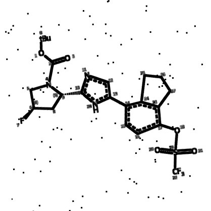 CC(C)(C)OC(=O)N1C[C@H](F)C[C@H]1c1ncc(-c2ccc(OS(=O)(=O)C(F)(F)F)c3c2CCC3)[nH]1